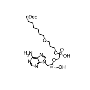 CCCCCCCCCCCCCCCCOCCCOP(=O)(O)CO[C@H](CO)Cn1cnc2c(N)ncnc21